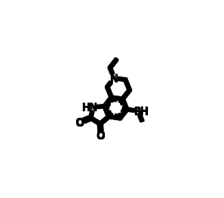 CBc1cc2c(c3c1CCN(CC)C3)NC(=O)C2=O